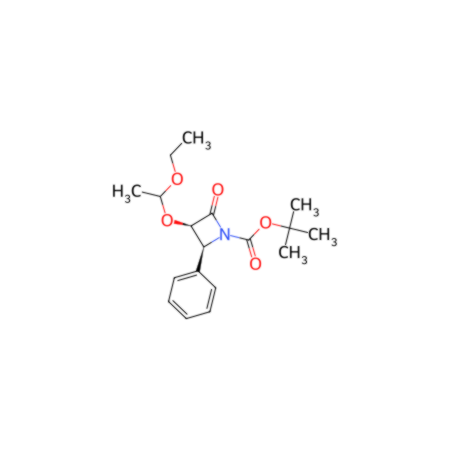 CCOC(C)O[C@H]1C(=O)N(C(=O)OC(C)(C)C)[C@H]1c1ccccc1